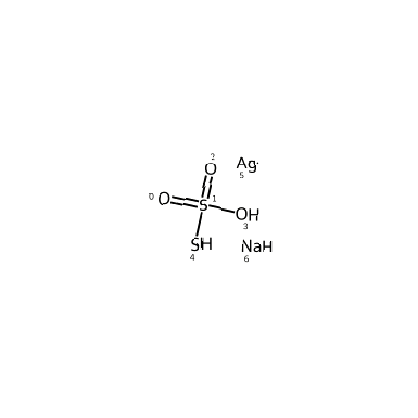 O=S(=O)(O)S.[Ag].[NaH]